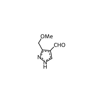 COCc1n[nH]cc1C=O